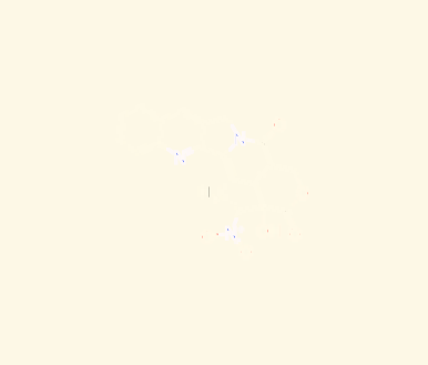 CC([N+](=O)[O-])C1(O)C(=O)OCc2c1cc1n(c2=O)Cc2cc3ccccc3nc2-1